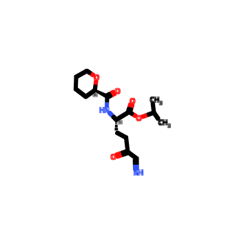 CC(C)OC(=O)[C@H](CCC(=O)C=N)NC(=O)[C@H]1CCCCO1